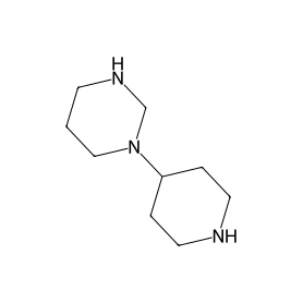 C1CNCN(C2CCNCC2)C1